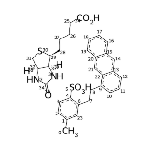 Cc1ccc(S(=O)(=O)O)c(CCc2cccc3cc4ccccc4cc23)c1.O=C(O)CCCC[C@@H]1SC[C@@H]2NC(=O)N[C@@H]21